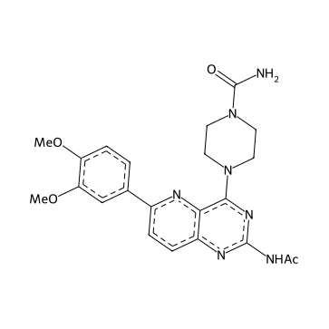 COc1ccc(-c2ccc3nc(NC(C)=O)nc(N4CCN(C(N)=O)CC4)c3n2)cc1OC